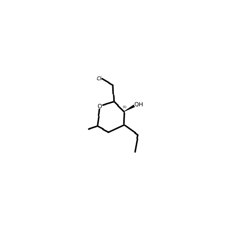 CCC1CC(C)OC(CCl)[C@H]1O